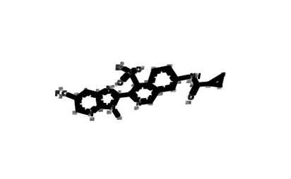 CCS(=O)(=O)c1c(-c2nc3cc(C(F)(F)F)cnc3n2C)ncc2cc(NC(=O)C3CC3)ccc12